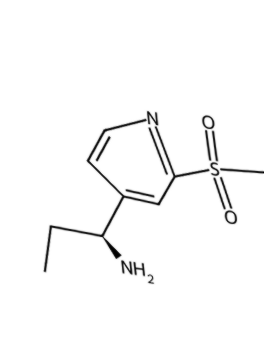 CC[C@H](N)c1ccnc(S(C)(=O)=O)c1